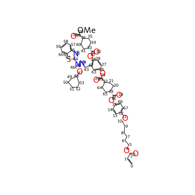 C=CC(=O)OCCCCCCOc1ccc(OC(=O)[C@H]2CC[C@H](C(=O)Oc3ccc(OC(=O)[C@H]4CC[C@H](C(=O)OC)CC4)c(/C=N/N(COC4CCCCC4)c4nc5ccccc5s4)c3)CC2)cc1